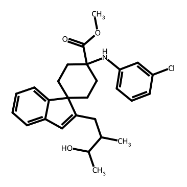 COC(=O)C1(Nc2cccc(Cl)c2)CCC2(CC1)C(CC(C)C(C)O)=Cc1ccccc12